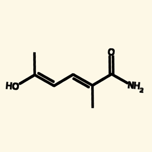 C/C(O)=C\C=C(/C)C(N)=O